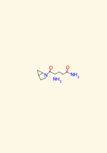 NC(=O)CC[C@H](N)C(=O)N1CCC2CC21